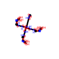 O=C(CCCCCCCCCCC(=O)NC(COCCC(=O)NCCCCNC(=O)c1cccc(OCc2cn([C@H]3CO[C@H](CO)[C@H](O)[C@@H]3O)nn2)c1)(COCCC(=O)NCCCCNC(=O)c1cccc(OCc2cn([C@H]3CO[C@H](CO)[C@H](O)[C@@H]3O)nn2)c1)COCCC(=O)NCCCCNC(=O)c1cccc(OCc2cn([C@H]3CO[C@H](CO)[C@H](O)[C@@H]3O)nn2)c1)NCCN1C(=O)C=CC1=O